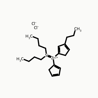 CCCC[Si](CCCC)=[Zr+2]([C]1=CC=CC1)[C]1=CC(CCC)=CC1.[Cl-].[Cl-]